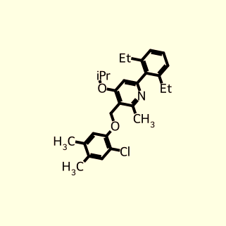 CCc1cccc(CC)c1-c1cc(OC(C)C)c(COc2cc(C)c(C)cc2Cl)c(C)n1